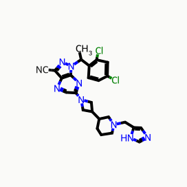 CC(c1ccc(Cl)cc1Cl)n1nc(C#N)c2ncc(N3CC(C4CCCN(Cc5cnc[nH]5)C4)C3)nc21